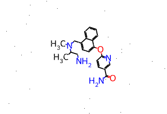 CC(CN)N(C)Cc1ccc(Oc2ccc(C(N)=O)cn2)c2ccccc12